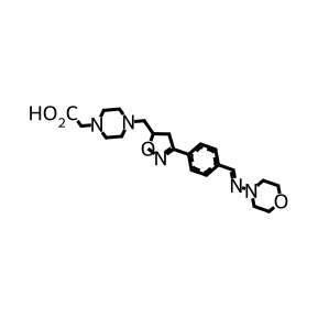 O=C(O)CN1CCN(CC2CC(c3ccc(C=NN4CCOCC4)cc3)=NO2)CC1